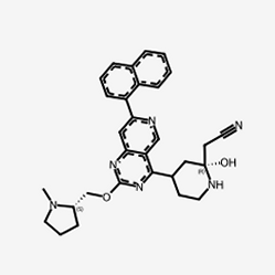 CN1CCC[C@H]1COc1nc(C2CCN[C@](O)(CC#N)C2)c2cnc(-c3cccc4ccccc34)cc2n1